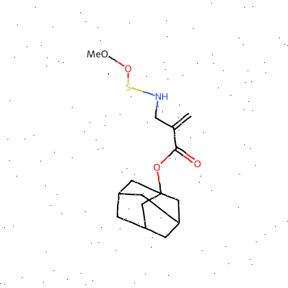 C=C(CNSOOC)C(=O)OC12CC3CC(CC(C3)C1)C2